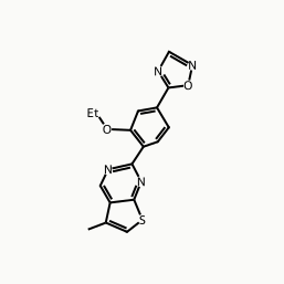 CCOc1cc(-c2ncno2)ccc1-c1ncc2c(C)csc2n1